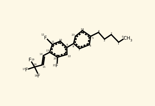 CCCCCc1ccc(-c2cc(F)c(/C=C/C(F)(F)F)c(F)c2)cc1